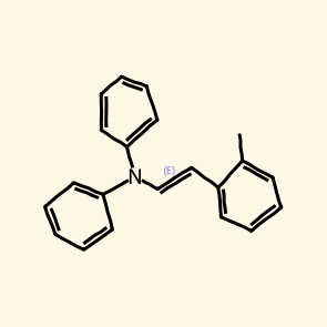 Cc1ccccc1/C=C/N(c1ccccc1)c1ccccc1